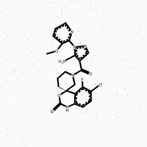 COc1cccnc1-n1ncc(C(=O)N2CCC[C@@]3(C2)OC(=O)Nc2ccc(Cl)c(F)c23)c1N